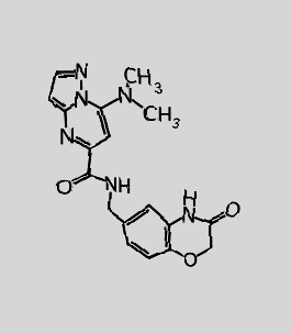 CN(C)c1cc(C(=O)NCc2ccc3c(c2)NC(=O)CO3)nc2ccnn12